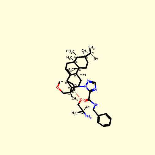 CC(C)[C@@H](C)[C@@]1(C)CC[C@]2(C)[C@H]3CC[C@@H]4[C@@]5(COC[C@@]4(C)[C@@H](OC[C@](C)(N)C(C)C)[C@H](n4ncnc4C(=O)NCc4ccccc4)C5)C3=CC[C@@]2(C)[C@@H]1C(=O)O